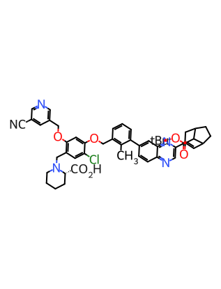 Cc1c(COc2cc(OCc3cncc(C#N)c3)c(CN3CCCC[C@H]3C(=O)O)cc2Cl)cccc1-c1ccc2ncc(C3=CC4CCC(C3)C4C(=O)OC(C)(C)C)nc2c1